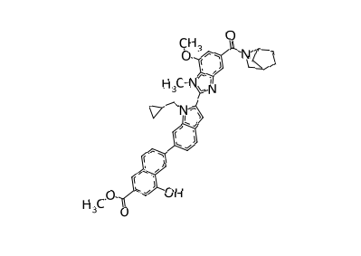 COC(=O)c1cc(O)c2cc(-c3ccc4cc(-c5nc6cc(C(=O)N7CC8CCC7C8)cc(OC)c6n5C)n(CC5CC5)c4c3)ccc2c1